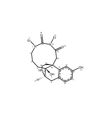 CCN1CCC[C@@]2(O)[C@H]3Cc4ccc(O)cc4[C@@]2(CCN3)CC(=O)N(CC)C1=O